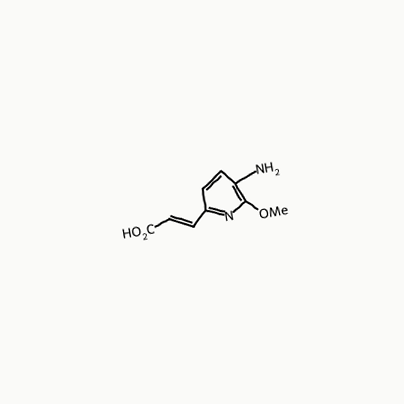 COc1nc(C=CC(=O)O)ccc1N